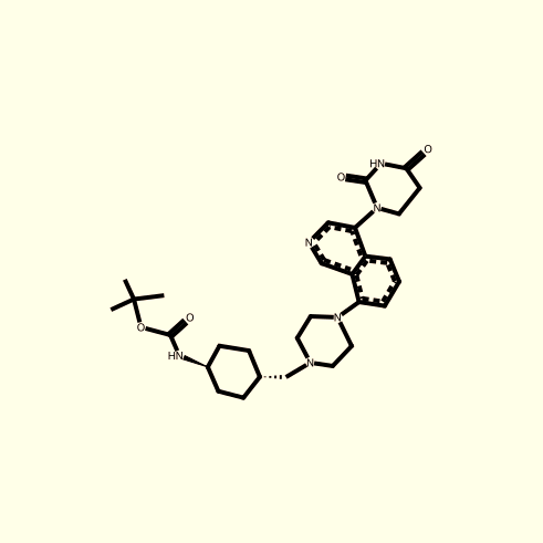 CC(C)(C)OC(=O)N[C@H]1CC[C@H](CN2CCN(c3cccc4c(N5CCC(=O)NC5=O)cncc34)CC2)CC1